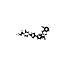 CC1CN(c2ncc(-c3ccc4c(=O)n(C)n(Cc5ccccc5Cl)c4n3)cn2)CCN1C(=O)CO